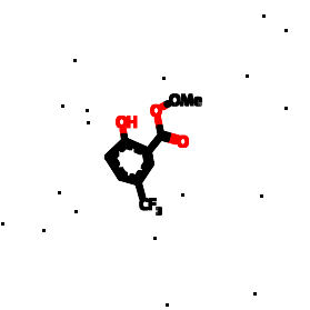 COOC(=O)c1cc(C(F)(F)F)ccc1O